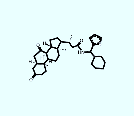 C[C@H](CC(=O)NC(c1cccs1)C1CCCCC1)C1CC[C@H]2[C@@H]3C(=O)C[C@@H]4CC(=O)CC[C@]4(C)[C@H]3CC[C@]12C